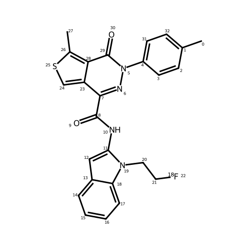 Cc1ccc(-n2nc(C(=O)Nc3cc4ccccc4n3CC[18F])c3csc(C)c3c2=O)cc1